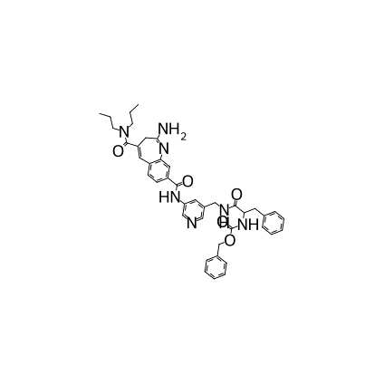 CCCN(CCC)C(=O)C1=Cc2ccc(C(=O)Nc3cncc(CNC(=O)C(Cc4ccccc4)NC(=O)OCc4ccccc4)c3)cc2N=C(N)C1